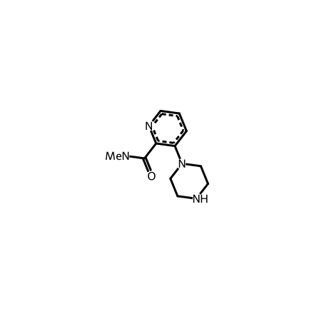 CNC(=O)c1ncccc1N1CCNCC1